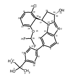 CC(C)(O)c1ncc(-c2ccc3nc4n(c3c2)[C@@H](c2c(Cl)cccc2OC(F)F)C[C@@H]4O)cn1